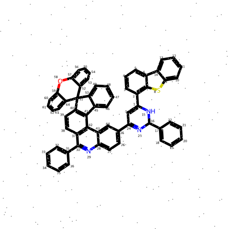 C1=C(c2cccc3c2sc2ccccc23)NC(c2ccccc2)N=C1c1ccc2nc(-c3ccccc3)c3ccc4c(c3c2c1)-c1ccccc1C41c2ccccc2Oc2ccccc21